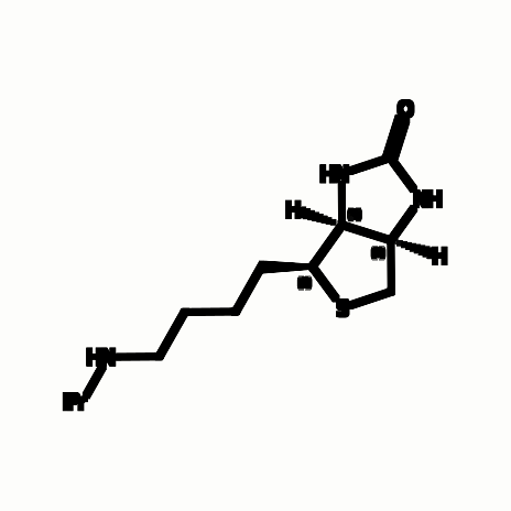 CC(C)NCCCC[C@@H]1SC[C@@H]2NC(=O)N[C@@H]21